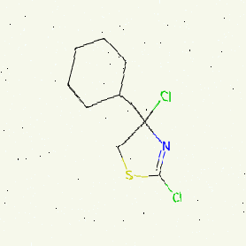 ClC1=NC(Cl)(C2CCCCC2)CS1